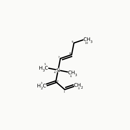 C=CC(=C)[Si](C)(C)C=CCC